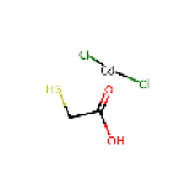 O=C(O)CS.[Cl][Cd][Cl]